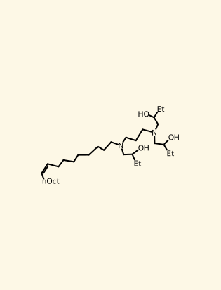 CCCCCCCC/C=C\CCCCCCCCN(CCCN(CC(O)CC)CC(O)CC)CC(O)CC